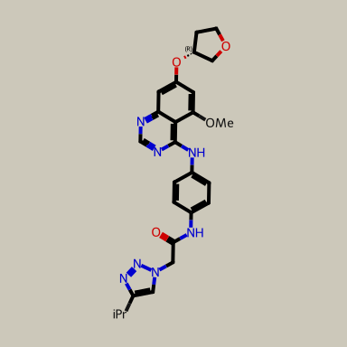 COc1cc(O[C@@H]2CCOC2)cc2ncnc(Nc3ccc(NC(=O)Cn4cc(C(C)C)nn4)cc3)c12